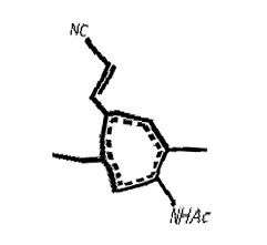 CC(=O)Nc1cc(C)c(/C=C/C#N)cc1C